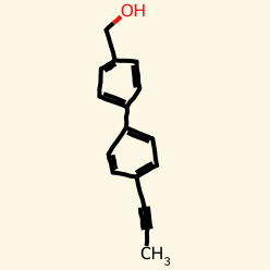 CC#Cc1ccc(-c2ccc(CO)cc2)cc1